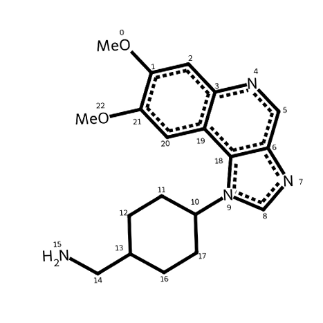 COc1cc2ncc3ncn(C4CCC(CN)CC4)c3c2cc1OC